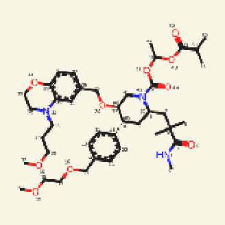 CNC(=O)C(C)(C)C[C@H]1C[C@H](c2ccc(COCCOC)cc2)[C@@H](OCc2ccc3c(c2)N(CCCOC)CCO3)CN1C(=O)OC(C)OC(=O)C(C)C